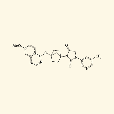 COc1ccc2c(OC34CCC(N5C(=O)CN(c6cncc(C(F)(F)F)c6)C5=O)(CC3)C4)ncnc2c1